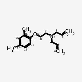 C=CCN(CC=C)CCOc1ccc(C)cc1C